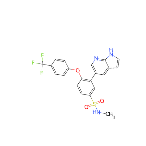 CNS(=O)(=O)c1ccc(Oc2ccc(C(F)(F)F)cc2)c(-c2cnc3[nH]ccc3c2)c1